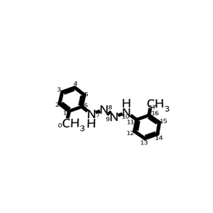 Cc1ccccc1NN=NNc1ccccc1C